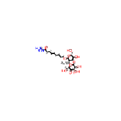 CC(=O)N[C@H]1[C@@H](OCCCCCCCCC(=O)NN)O[C@H](CO)[C@H](O)[C@@H]1O[C@@H]1O[C@H](CO)[C@H](O)[C@H](O)[C@H]1O